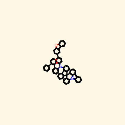 c1ccc(-c2ccccc2-c2ccccc2N(c2ccc(-c3ccc4oc5ccccc5c4c3)cc2)c2cccc3c2-c2ccccc2C32c3ccccc3-n3c4ccccc4c4cccc2c43)cc1